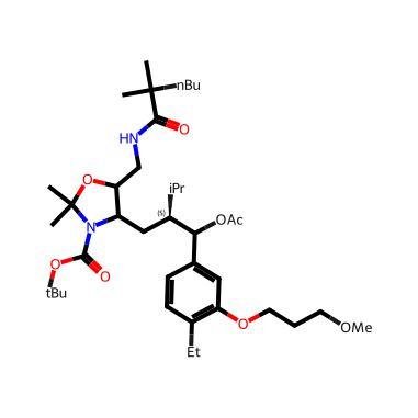 CCCCC(C)(C)C(=O)NCC1OC(C)(C)N(C(=O)OC(C)(C)C)C1C[C@@H](C(C)C)C(OC(C)=O)c1ccc(CC)c(OCCCOC)c1